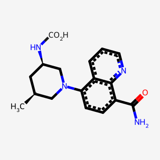 C[C@H]1C[C@@H](NC(=O)O)CN(c2ccc(C(N)=O)c3ncccc23)C1